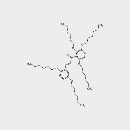 CCCCCCOc1ccc(OCCCCCC)c(C=CC(=O)c2c(OCCCCCC)ccc(OCCCCCC)c2OCCCCCC)c1